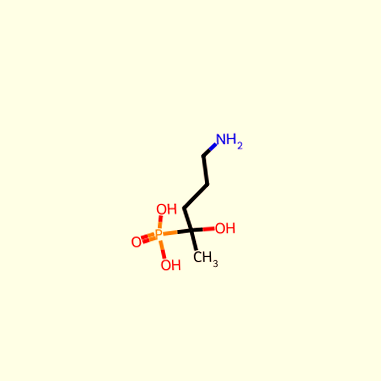 CC(O)(CCCN)P(=O)(O)O